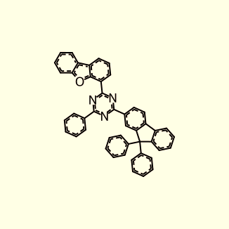 c1ccc(-c2nc(-c3ccc4c(c3)C(c3ccccc3)(c3ccccc3)c3ccccc3-4)nc(-c3cccc4c3oc3ccccc34)n2)cc1